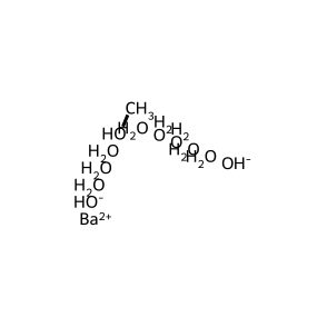 CO.O.O.O.O.O.O.O.O.[Ba+2].[OH-].[OH-]